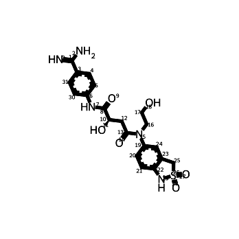 N=C(N)c1ccc(NC(=O)[C@H](O)CC(=O)N(CCO)c2ccc3c(c2)CS(=O)(=O)N3)cc1